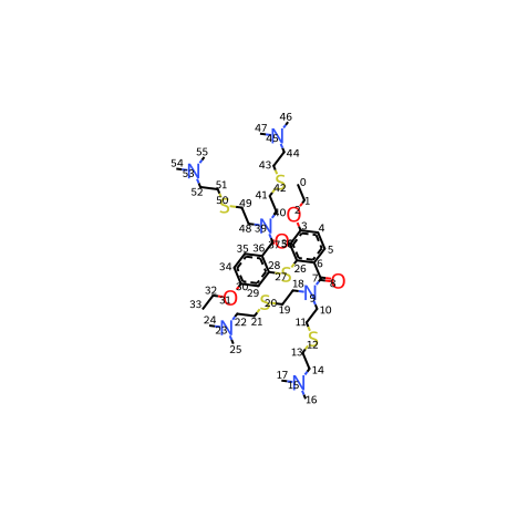 CCOc1ccc(C(=O)N(CCSCCN(C)C)CCSCCN(C)C)c(Sc2cc(OCC)ccc2C(=O)N(CCSCCN(C)C)CCSCCN(C)C)c1